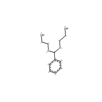 OCCOC(OCCO)c1ccccc1